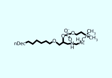 CCCCCCCCCCCCCCCCOCC(CNCC(C)=O)OP(=O)([O-])OCC[N+](C)(C)C